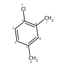 [CH2]c1ccc(Cl)c([CH2])c1